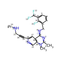 Cc1n/c(=N\Cc2cccc(C(F)F)c2F)c2cc(C#CCNC(C)C)ncc2n1C